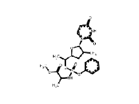 COC(=O)C(C)NP(=O)(Oc1ccccc1)OC(C)[C@@H]1CC(C)[C@H](n2ccc(=O)[nH]c2=O)O1